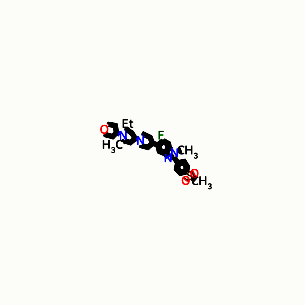 CCC1CC(N2CCC(c3cc4nc(-c5ccc(S(C)(=O)=O)cc5)n(C)c4cc3F)CC2)CC(C)N1C1CCOCC1